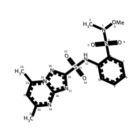 CON(C)S(=O)(=O)c1ccccc1NS(=O)(=O)c1nc2nc(C)cc(C)n2n1